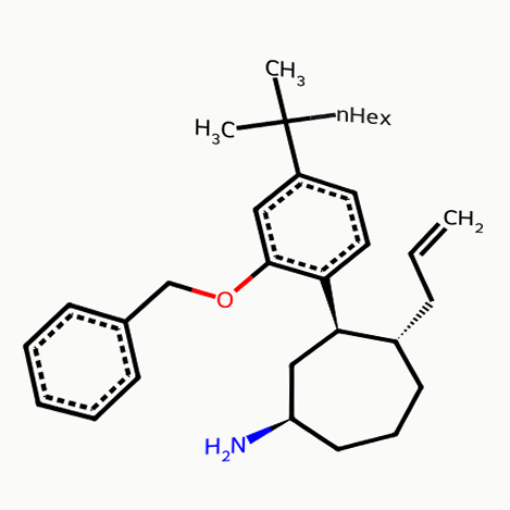 C=CC[C@@H]1CCC[C@@H](N)C[C@H]1c1ccc(C(C)(C)CCCCCC)cc1OCc1ccccc1